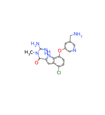 CN(C(=N)N)C(=O)c1cc2c(Cl)ccc(Oc3cncc(CN)c3)c2[nH]1